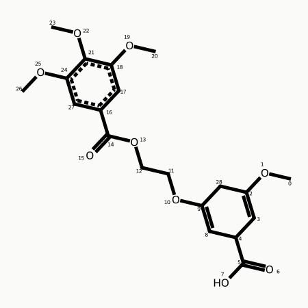 COC1=CC(C(=O)O)C=C(OCCOC(=O)c2cc(OC)c(OC)c(OC)c2)C1